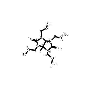 CCCCOCN1C(=O)N(COCCCC)C2(C)C1N(COCCCC)C(=O)N2COCCCC